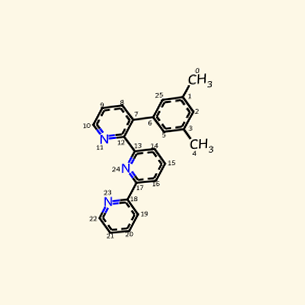 Cc1cc(C)cc(-c2cccnc2-c2cccc(-c3ccccn3)n2)c1